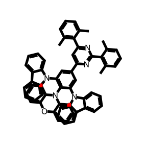 Cc1cccc(C)c1-c1cc(-c2cc(-n3c4ccccc4c4ccccc43)c(N3c4ccccc4Oc4ccccc43)c(-n3c4ccccc4c4ccccc43)c2)nc(-c2c(C)cccc2C)n1